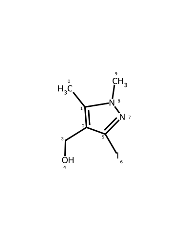 Cc1c(CO)c(I)nn1C